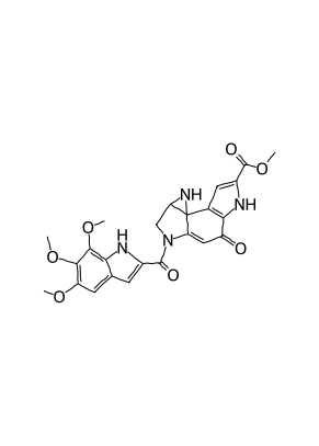 COC(=O)c1cc2c([nH]1)C(=O)C=C1N(C(=O)c3cc4cc(OC)c(OC)c(OC)c4[nH]3)CC3NC123